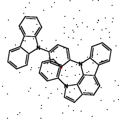 c1ccc(-n2ccc3ccc4c5ccccc5n(-c5ccc(-n6c7ccccc7c7ccccc76)cc5)c4c32)cc1